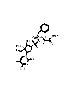 CC(C)OC(=O)[C@H](C)N[P@@](=O)(Oc1ccccc1)OC(C)(C)[C@H]1O[C@@H](n2cc(F)c(N)nc2=O)[C@@](N)(CF)C1O